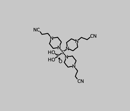 N#CCCN1CCN(S(N2CCN(CCC#N)CC2)(N2CCN(CCC#N)CC2)P(=O)(O)O)CC1